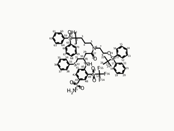 CC(C)(CCCN(CCO[Si](c1ccccc1)(c1ccccc1)C(C)(C)C)C(=O)C[C@H](CSc1ccccc1)Nc1ccc(S(N)(=O)=O)cc1S(=O)(=O)C(F)(F)F)[Si](O)(c1ccccc1)c1ccccc1